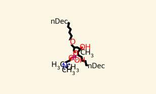 CCCCCCCCCCCCCCCCOCC(COP(O)OCC[N+](C)(C)C)CC(C)(O)CCCCCCCCCCCCCCCC